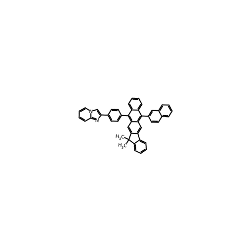 CC1(C)c2ccccc2-c2cc3c(-c4ccc5ccccc5c4)c4ccccc4c(-c4ccc(-c5cn6ccccc6n5)cc4)c3cc21